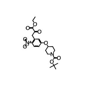 CCOC(=O)C(=O)Cc1cc(OC2CCN(C(=O)OC(C)(C)C)CC2)ccc1[N+](=O)[O-]